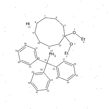 CCOC1(OCC)CCCCCCCC1.I.PC(c1ccccc1)(c1ccccc1)c1ccccc1